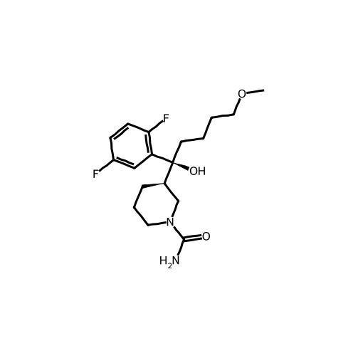 COCCCC[C@@](O)(c1cc(F)ccc1F)[C@@H]1CCCN(C(N)=O)C1